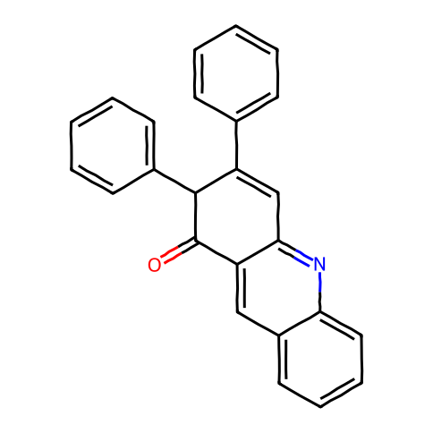 O=C1c2cc3ccccc3nc2C=C(c2ccccc2)C1c1ccccc1